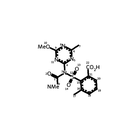 CNC(=O)N(c1nc(C)nc(OC)n1)S(=O)(=O)c1c(C)cccc1C(=O)O